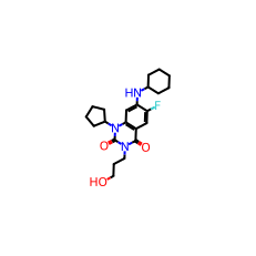 O=c1c2cc(F)c(NC3CCCCC3)cc2n(C2CCCC2)c(=O)n1CCCO